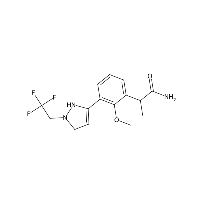 COc1c(C2=CCN(CC(F)(F)F)N2)cccc1C(C)C(N)=O